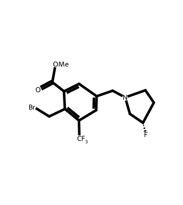 COC(=O)c1cc(CN2CC[C@H](F)C2)cc(C(F)(F)F)c1CBr